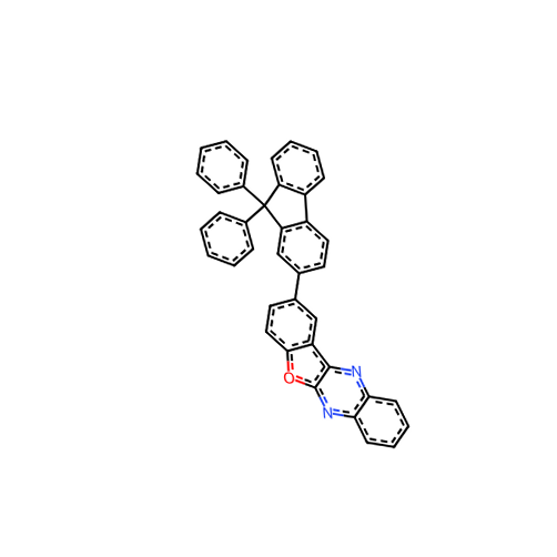 c1ccc(C2(c3ccccc3)c3ccccc3-c3ccc(-c4ccc5oc6nc7ccccc7nc6c5c4)cc32)cc1